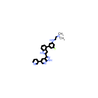 CN(C)CCNc1cc(F)cc(-c2cccc3[nH]c(-c4n[nH]c5ncc(-c6cccnc6)cc45)cc23)c1